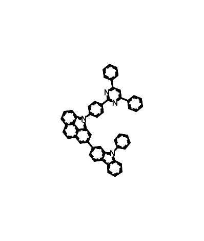 c1ccc(-c2cc(-c3ccccc3)nc(-c3ccc(-n4c5cccc6ccc7cc(-c8ccc9c%10ccccc%10n(-c%10ccccc%10)c9c8)cc4c7c65)cc3)n2)cc1